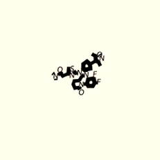 Cc1noc(C)c1-c1ccc2c(c1)nc(C1CCCC(=O)N1c1ccc(F)c(F)c1)n2-c1nc(CC(=O)N(C)C)cs1